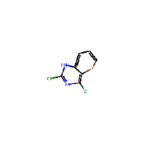 ClC1=NC(Cl)=C2SC=CC=C2N1